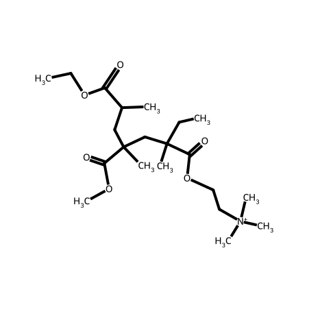 CCOC(=O)C(C)CC(C)(CC(C)(CC)C(=O)OCC[N+](C)(C)C)C(=O)OC